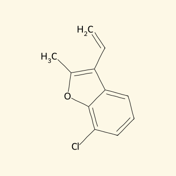 C=Cc1c(C)oc2c(Cl)cccc12